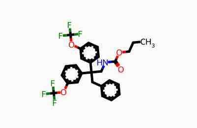 CCCOC(=O)NCC(Cc1ccccc1)(c1cccc(OC(F)(F)F)c1)c1cccc(OC(F)(F)F)c1